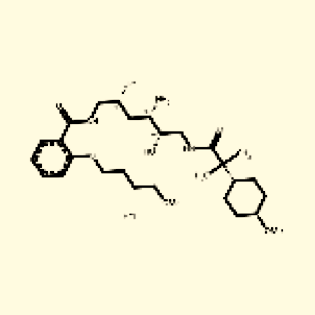 COCCCCOc1ccccc1C(=O)NC[C@@H](C[C@H](N)[C@@H](O)CNC(=O)C(C)(C)[C@H]1CC[C@H](OC)CC1)C(C)C.Cl